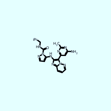 Cc1nc(N)cc(-c2c(Nc3ccnn3C(=O)NCC(C)C)nc3cccnn23)n1